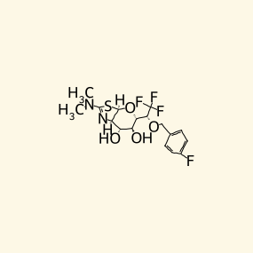 CN(C)C1=N[C@@H]2[C@@H](O)[C@H](O)[C@@H]([C@@H](OCc3ccc(F)cc3)C(F)(F)F)O[C@@H]2S1